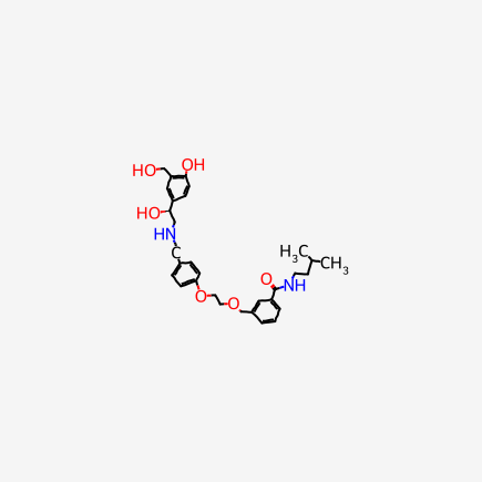 CC(C)CCNC(=O)c1cccc(COCCOc2ccc(CCNC[C@@H](O)c3ccc(O)c(CO)c3)cc2)c1